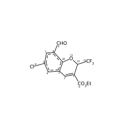 CCOC(=O)C1=Cc2cc(Cl)cc(C=O)c2OC1C(F)(F)F